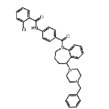 O=C(Nc1ccc(C(=O)N2CCCC(N3CCN(Cc4ccccc4)CC3)c3ccccc32)cc1)c1ccccc1Cl